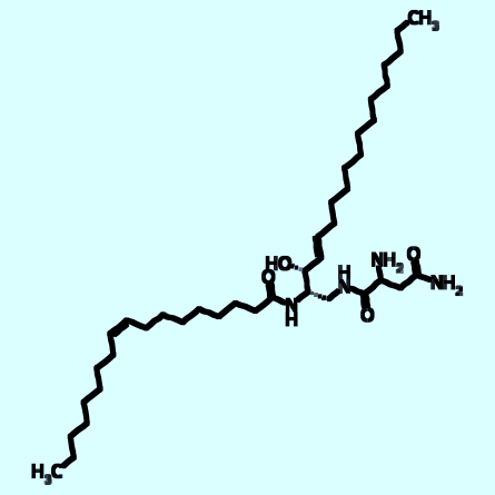 CCCCCCCC/C=C\CCCCCCCC(=O)N[C@@H](CNC(=O)C(N)CC(N)=O)[C@H](O)/C=C/CCCCCCCCCCCCC